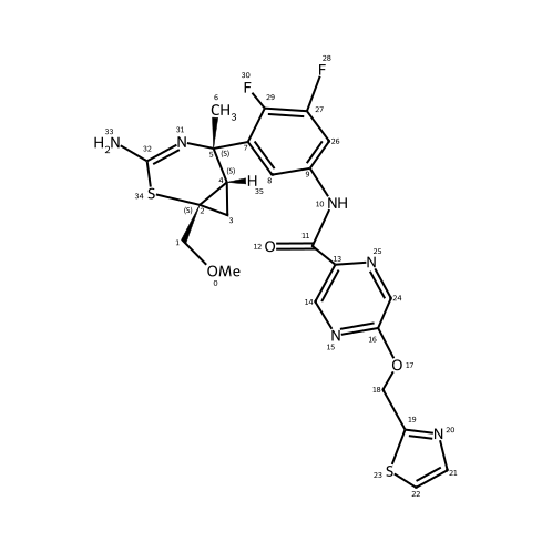 COC[C@]12C[C@H]1[C@@](C)(c1cc(NC(=O)c3cnc(OCc4nccs4)cn3)cc(F)c1F)N=C(N)S2